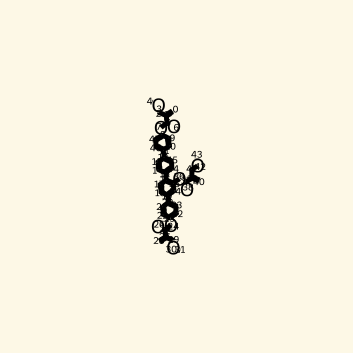 C=C(COC)C(=O)Oc1ccc(-c2ccc(-c3ccc(-c4ccc(OC(=O)C(=C)COC)cc4)cc3OC(=O)C(=C)COC)cc2)cc1